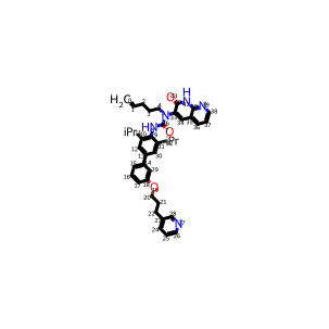 C=CCCCN(C(=O)Nc1c(C(C)C)cc(-c2cccc(OCCCc3cccnc3)c2)cc1C(C)C)c1cc2cccnc2[nH]c1=O